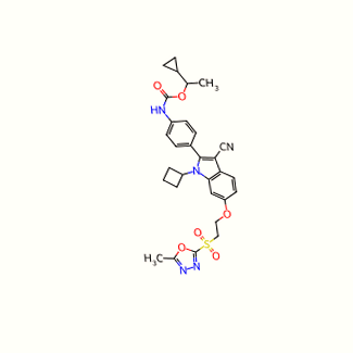 Cc1nnc(S(=O)(=O)CCOc2ccc3c(C#N)c(-c4ccc(NC(=O)OC(C)C5CC5)cc4)n(C4CCC4)c3c2)o1